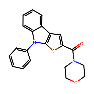 O=C(c1cc2c3ccccc3n(-c3ccccc3)c2s1)N1CCOCC1